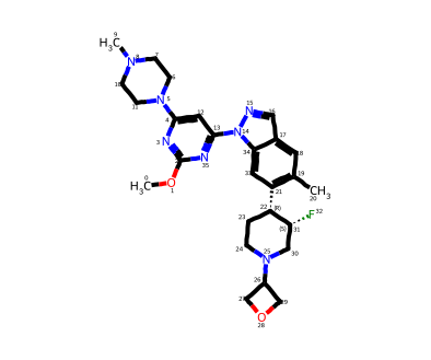 COc1nc(N2CCN(C)CC2)cc(-n2ncc3cc(C)c([C@H]4CCN(C5COC5)C[C@H]4F)cc32)n1